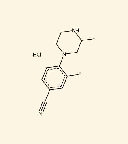 CC1CN(c2ccc(C#N)cc2F)CCN1.Cl